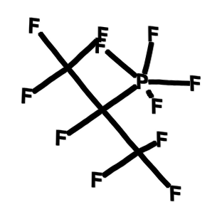 FC(F)(F)C(F)(C(F)(F)F)P(F)(F)(F)F